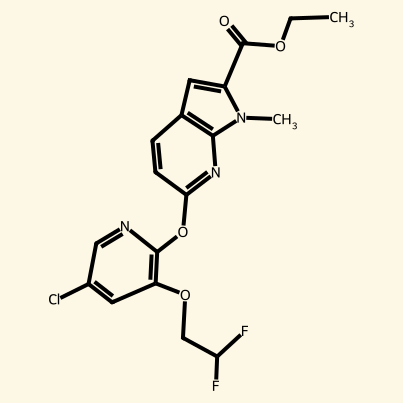 CCOC(=O)c1cc2ccc(Oc3ncc(Cl)cc3OCC(F)F)nc2n1C